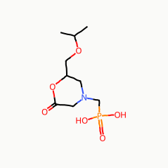 CC(C)OCC1CN(CP(=O)(O)O)CC(=O)O1